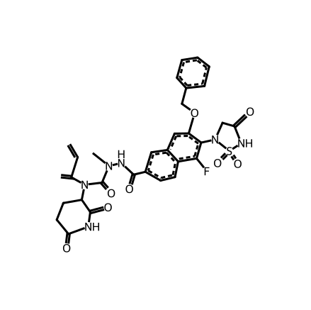 C=CC(=C)N(C(=O)N(C)NC(=O)c1ccc2c(F)c(N3CC(=O)NS3(=O)=O)c(OCc3ccccc3)cc2c1)C1CCC(=O)NC1=O